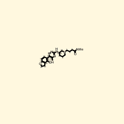 CNC(=O)CCCN1CCC[C@@H](Nc2nnc(-c3ccc4c(c3O)CCO4)c(C)n2)C1